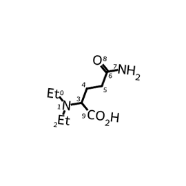 CCN(CC)C(CCC(N)=O)C(=O)O